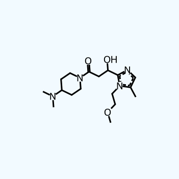 COCCn1c(C)cnc1C(O)CC(=O)N1CCC(N(C)C)CC1